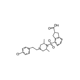 CC1CN(CCc2ccc(Cl)cc2)CC(C)N1S(=O)(=O)c1cccc2c1CC(C(=O)O)C2